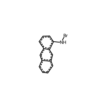 BrNc1cccc2cc3ccccc3cc12